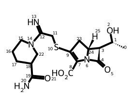 C[C@@H](O)[C@H]1C(=O)N2C(C(=O)O)=C(SCC(=N)N3CCCC(C(N)=O)C3)C[C@H]12